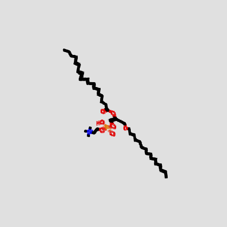 CCCCCCCCCCCCCCCCCCC(=O)OC(COCCCCCCCCCCCCCCCC)COP(=O)(O)OCC[N+](C)(C)C